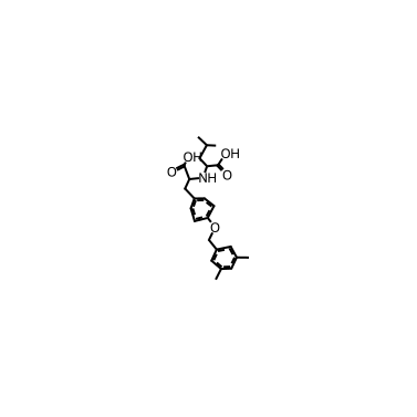 Cc1cc(C)cc(COc2ccc(CC(NC(CC(C)C)C(=O)O)C(=O)O)cc2)c1